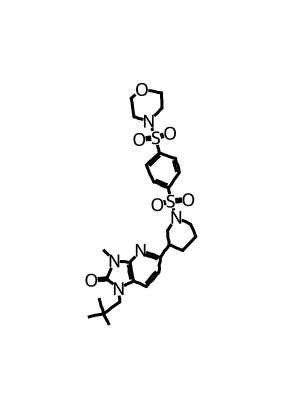 Cn1c(=O)n(CC(C)(C)C)c2ccc(C3CCCN(S(=O)(=O)c4ccc(S(=O)(=O)N5CCOCC5)cc4)C3)nc21